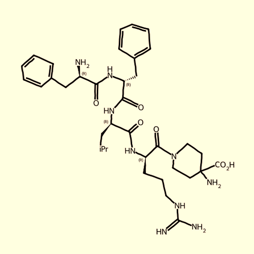 CC(C)C[C@@H](NC(=O)[C@@H](Cc1ccccc1)NC(=O)[C@H](N)Cc1ccccc1)C(=O)N[C@H](CCCNC(=N)N)C(=O)N1CCC(N)(C(=O)O)CC1